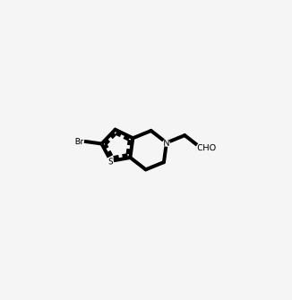 O=CCN1CCc2sc(Br)cc2C1